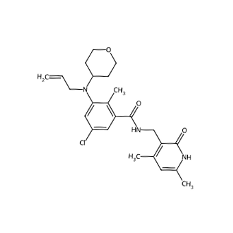 C=CCN(c1cc(Cl)cc(C(=O)NCc2c(C)cc(C)[nH]c2=O)c1C)C1CCOCC1